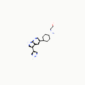 CCCN(CCO)[C@H]1CC[C@](F)(c2cnc3[nH]cc(-c4cnn(C)c4)c3c2)CC1